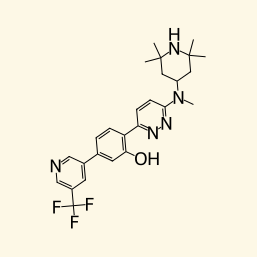 CN(c1ccc(-c2ccc(-c3cncc(C(F)(F)F)c3)cc2O)nn1)C1CC(C)(C)NC(C)(C)C1